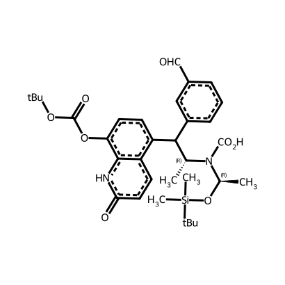 C[C@H](C(c1cccc(C=O)c1)c1ccc(OC(=O)OC(C)(C)C)c2[nH]c(=O)ccc12)N(C(=O)O)[C@@H](C)O[Si](C)(C)C(C)(C)C